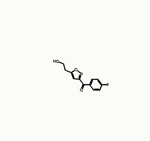 O=C(c1ccc(F)cc1)c1cc(CCO)on1